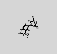 COc1ccnc2ccc(N3CC(C)OC(C)C3)cc12